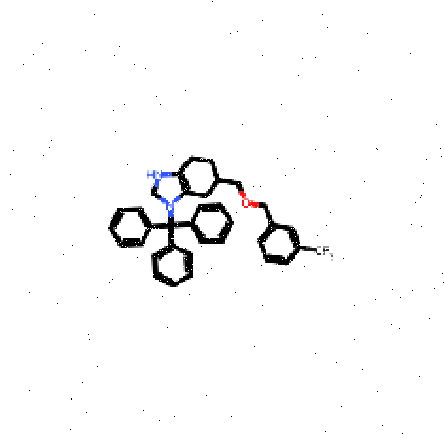 FC(F)(F)c1cccc(COCC2CCC3=C(C2)N(C(c2ccccc2)(c2ccccc2)c2ccccc2)CN3)c1